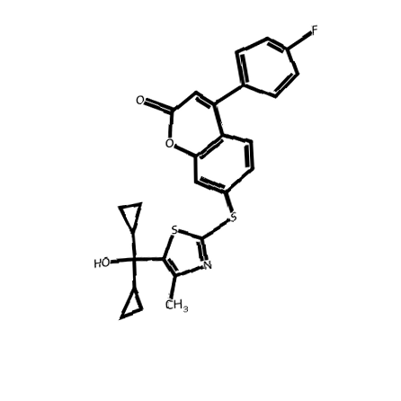 Cc1nc(Sc2ccc3c(-c4ccc(F)cc4)cc(=O)oc3c2)sc1C(O)(C1CC1)C1CC1